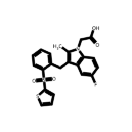 Cc1c(Cc2ccccc2S(=O)(=O)c2cccs2)c2cc(F)ccc2n1CC(=O)O